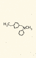 CCc1ccc(CN(C)c2ccccc2)cc1